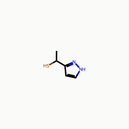 CC(S)c1cc[nH]n1